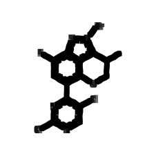 CC1COc2c(-c3nc(Cl)ncc3Cl)cc(F)c3nn(C(C)C)c1c23